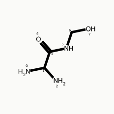 NC(N)C(=O)NCO